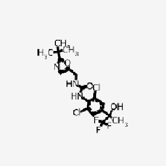 CC(C)(C)c1ncc(CNC(=O)Nc2c(Cl)cc(C(C)(O)C(F)(F)F)cc2Cl)o1